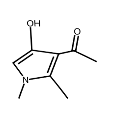 CC(=O)c1c(O)cn(C)c1C